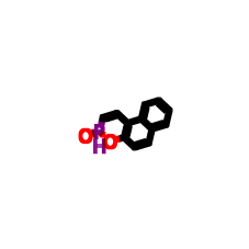 O=[PH]1C=Cc2c(ccc3ccccc23)O1